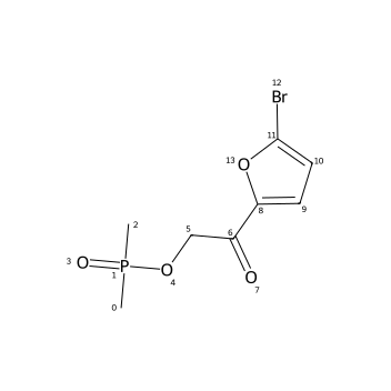 CP(C)(=O)OCC(=O)c1ccc(Br)o1